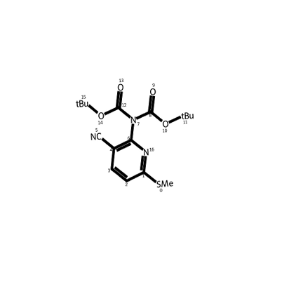 CSc1ccc(C#N)c(N(C(=O)OC(C)(C)C)C(=O)OC(C)(C)C)n1